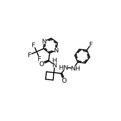 O=C(NC1(C(=O)NNc2ccc(F)cc2)CCC1)c1nccnc1C(F)(F)F